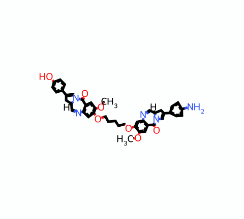 COc1cc2c(cc1OCCCCCOc1cc3c(cc1OC)C(=O)N1C=C(c4ccc(O)cc4)C[C@H]1C=N3)N=C[C@@H]1CC(c3ccc(N)cc3)=CN1C2=O